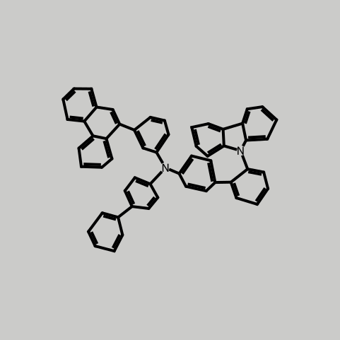 c1ccc(-c2ccc(N(c3ccc(-c4ccccc4-n4c5ccccc5c5ccccc54)cc3)c3cccc(-c4cc5ccccc5c5ccccc45)c3)cc2)cc1